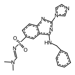 CN(C)C=NS(=O)(=O)c1ccc2nc(-n3ccnc3)nc(NCc3ccccc3)c2c1